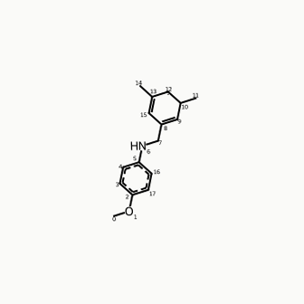 COc1ccc(NCC2=CC(C)[CH]C(C)=C2)cc1